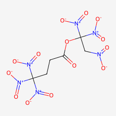 O=C(CCC([N+](=O)[O-])([N+](=O)[O-])[N+](=O)[O-])OC(C[N+](=O)[O-])([N+](=O)[O-])[N+](=O)[O-]